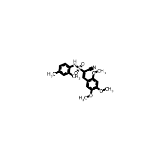 COc1cc(OC)c(OC)cc1/C=C(\C#N)S(=O)(=O)Nc1ccc(C)cc1C